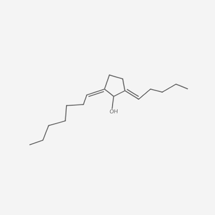 CCCC/C=C1\CC/C(=C/CCCCCC)C1O